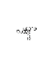 Cc1cc(Cc2ccccc2)cc(C)c1[Si](Cl)(c1c(C)cc(Cc2ccccc2)cc1C)c1c(C)cc(Cc2ccccc2)cc1C